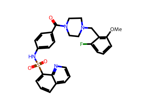 COc1cccc(F)c1CN1CCN(C(=O)c2ccc(NS(=O)(=O)c3cccc4cccnc34)cc2)CC1